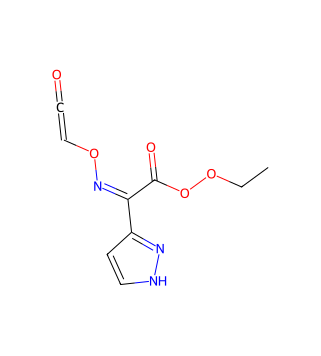 CCOOC(=O)C(=NOC=C=O)c1cc[nH]n1